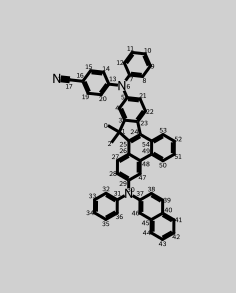 CC1(C)c2cc(N(c3ccccc3)c3ccc(C#N)cc3)ccc2-c2c1c1ccc(N(c3ccccc3)c3ccc4ccccc4c3)cc1c1ccccc21